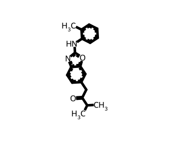 Cc1ccccc1Nc1nc2ccc(CC(=O)C(C)C)cc2o1